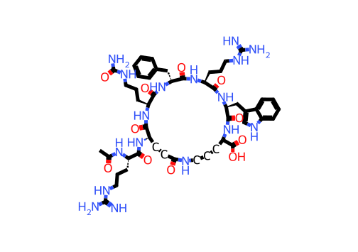 CC(=O)N[C@@H](CCCNC(=N)N)C(=O)N[C@H]1CCC(=O)NCCCC(C(=O)O)NC(=O)[C@H](Cc2c[nH]c3ccccc23)NC(=O)[C@H](CCCNC(=N)N)NC(=O)[C@@H](Cc2ccccc2)NC(=O)[C@H](CCCNC(N)=O)NC1=O